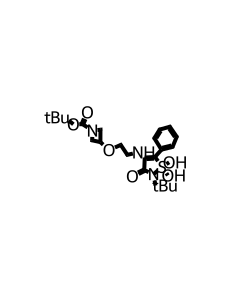 CC(C)(C)OC(=O)N1CC(OCCNC2=C(c3ccccc3)S(O)(O)N(C(C)(C)C)C2=O)C1